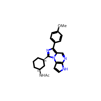 COc1ccc(-c2nc([C@@H]3CCC[C@H](NC(C)=O)C3)n3c2cnc2[nH]ccc23)cc1